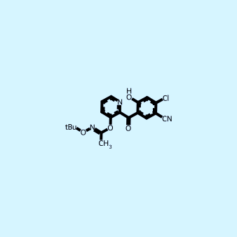 CC(=NOC(C)(C)C)Oc1cccnc1C(=O)c1cc(C#N)c(Cl)cc1O